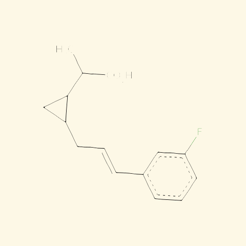 CC(C(=O)O)C1CC1CC=Cc1cccc(F)c1